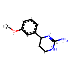 COc1cccc(C2CCNC(N)=N2)c1